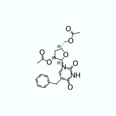 CC(=O)OC[C@H]1C[C@@H](OC(C)=O)[C@H](n2cc(Cc3ccccc3)c(=O)[nH]c2=O)O1